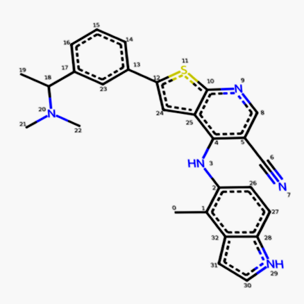 Cc1c(Nc2c(C#N)cnc3sc(-c4cccc(C(C)N(C)C)c4)cc23)ccc2[nH]ccc12